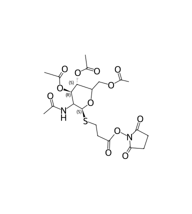 CC(=O)NC1[C@@H](OC(C)=O)[C@H](OC(C)=O)C(COC(C)=O)O[C@H]1SCCC(=O)ON1C(=O)CCC1=O